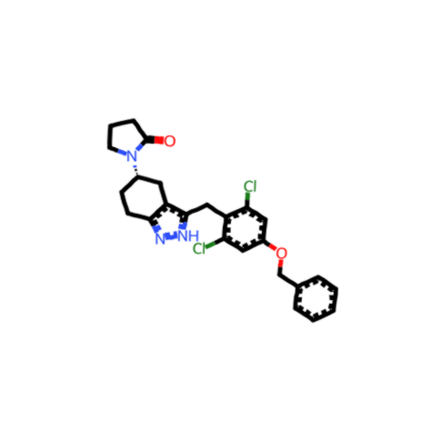 O=C1CCCN1[C@H]1CCc2n[nH]c(Cc3c(Cl)cc(OCc4ccccc4)cc3Cl)c2C1